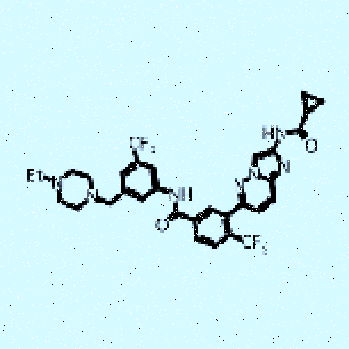 CCN1CCN(Cc2cc(NC(=O)c3ccc(C(F)(F)F)c(-c4ccc5nc(NC(=O)C6CC6)cn5n4)c3)cc(C(F)(F)F)c2)CC1